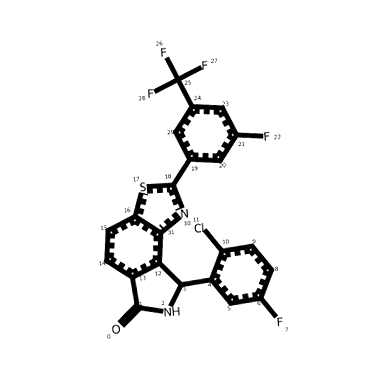 O=C1NC(c2cc(F)ccc2Cl)c2c1ccc1sc(-c3cc(F)cc(C(F)(F)F)c3)nc21